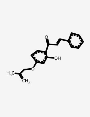 C=C(C)COc1ccc(C(=O)C=Cc2ccccc2)c(O)c1